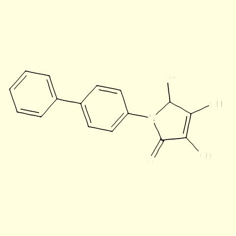 CC1=C(C)C(O)N(c2ccc(-c3ccccc3)cc2)C1=O